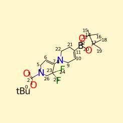 CC(C)(C)OC(=O)N1CC=C(N2CC=C(B3OC(C)(C)C(C)(C)O3)CC2)C(F)(F)C1